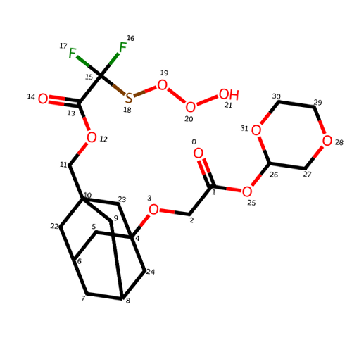 O=C(COC12CC3CC(CC(COC(=O)C(F)(F)SOOO)(C3)C1)C2)OC1COCCO1